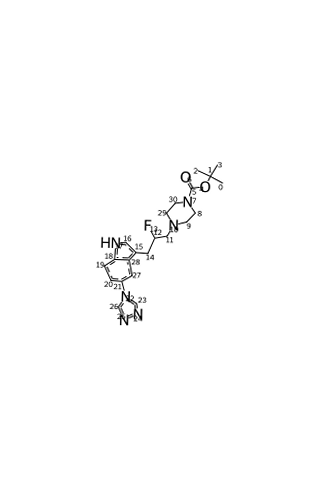 CC(C)(C)OC(=O)N1CCN(CC(F)Cc2c[nH]c3ccc(-n4cnnc4)cc23)CC1